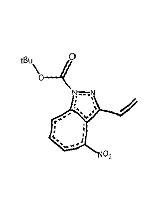 C=Cc1nn(C(=O)OC(C)(C)C)c2cccc([N+](=O)[O-])c12